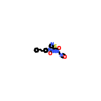 O=C(NCCN1CCOCC1)c1sc2nccc3c2c1NC(=O)N3c1ccc(CCc2ccccc2)cc1